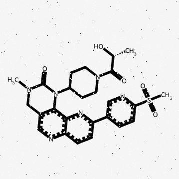 C[C@@H](O)C(=O)N1CCC(N2C(=O)N(C)Cc3cnc4ccc(-c5ccc(S(C)(=O)=O)nc5)nc4c32)CC1